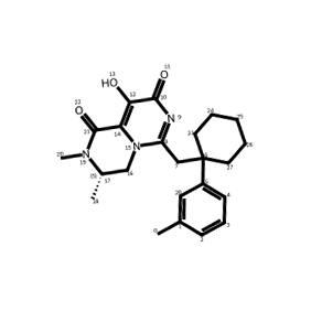 Cc1cccc(C2(Cc3nc(=O)c(O)c4n3C[C@H](C)N(C)C4=O)CCCCC2)c1